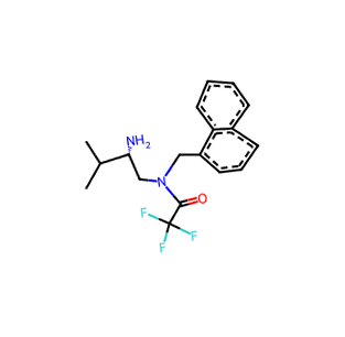 CC(C)[C@H](N)CN(Cc1cccc2ccccc12)C(=O)C(F)(F)F